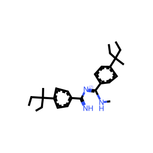 CCC(C)(CC)c1ccc(C(=N)/N=C(\NC)c2ccc(C(C)(CC)CC)cc2)cc1